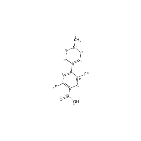 CN1CC=C(c2cc(F)c(C(=O)O)cc2F)CC1